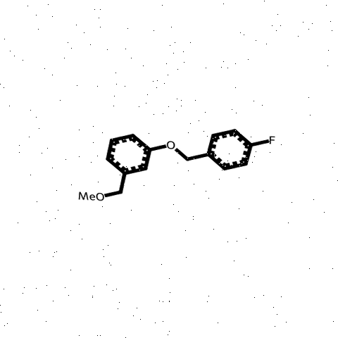 COCc1cccc(OCc2ccc(F)cc2)c1